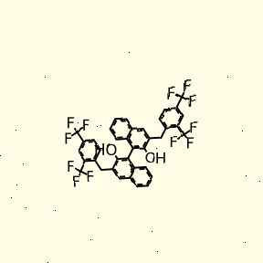 Oc1c(Cc2ccc(C(F)(F)F)cc2C(F)(F)F)cc2ccccc2c1-c1c(O)c(Cc2ccc(C(F)(F)F)cc2C(F)(F)F)cc2ccccc12